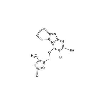 CCc1c(C(C)CC)nc2nc3ccccc3n2c1OCc1oc(=O)oc1C